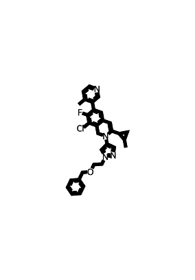 Cc1ccncc1-c1cc2c(c(Cl)c1F)CN(c1cnn(CCOCc3ccccc3)c1)C(C1CC1C)=C2